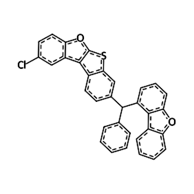 Clc1ccc2oc3sc4cc(C(c5ccccc5)c5cccc6oc7ccccc7c56)ccc4c3c2c1